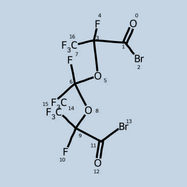 O=C(Br)C(F)(OC(F)(OC(F)(C(=O)Br)C(F)(F)F)C(F)(F)F)C(F)(F)F